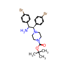 CC(C)(C)OC(=O)N1CCN([C@H](c2ccc(Br)cc2)[C@@H](N)c2ccc(Br)cc2)CC1